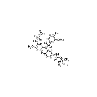 COc1cc(S(=O)(=O)N2C[C@H](C[C@H](C)C(=O)NS(=O)(=O)C3CC3)Oc3ccc(NC(=O)OC(C)(C)C(F)(F)F)cc32)ccc1F